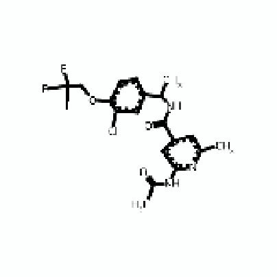 CC(=O)Nc1cc(C(=O)NC(C)c2ccc(OCC(F)(F)I)c(Cl)c2)cc(C)n1